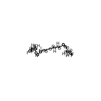 COc1ncc(-c2ccc3nccc(-c4ccc(COCC(=O)CCCOCCC(=O)NCCNC(=O)CCc5cccc6c5CN(C(=O)C[C@@H]5C[C@@H](C(=O)N7CC(F)(F)C[C@H]7C)NC5=O)C6)nc4)c3c2)cc1NS(=O)(=O)c1ccc(F)cc1F